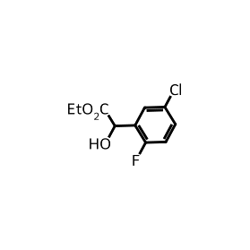 CCOC(=O)C(O)c1cc(Cl)ccc1F